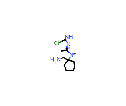 C/C(=N\C(=N)Cl)N(C)C1(CN)CCCCC1